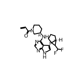 C=CC(=O)N1CCC[C@@H](Nc2ncnc3[nH]cc([C@]45CCC[C@H]4C5C(F)F)c23)C1